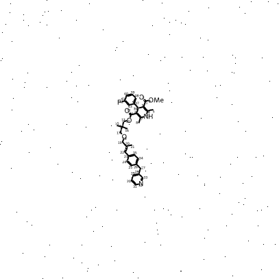 COC(=O)C1=C(C)NC(C)=C(C(=O)OCC(C)(C)COC/C(C)=C/c2ccc(Cc3cccnc3)cc2)C1c1cccc(F)c1